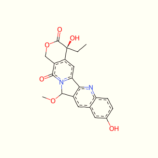 CC[C@@]1(O)C(=O)OCc2c1cc1n(c2=O)C(OC)c2cc3cc(O)ccc3nc2-1